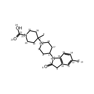 CC1(N2CCC(N3C(=O)Cc4cc(F)ccc43)CC2)CCN(C(=O)O)CC1